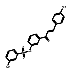 O=C(C=Cc1ccc(O)cc1)c1cccc(NS(=O)(=O)c2cccc(O)c2)c1